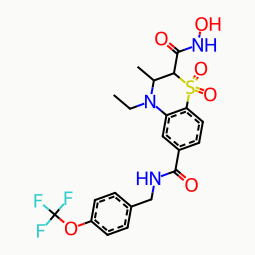 CCN1c2cc(C(=O)NCc3ccc(OC(F)(F)F)cc3)ccc2S(=O)(=O)C(C(=O)NO)C1C